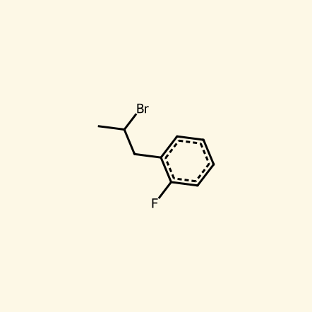 CC(Br)Cc1ccccc1F